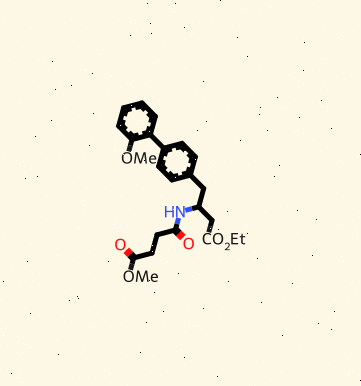 CCOC(=O)CC(Cc1ccc(-c2ccccc2OC)cc1)NC(=O)CCC(=O)OC